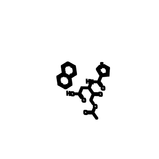 CC(=O)OCC(=O)C(CC(=O)O)NC(=O)c1ccsc1.c1ccc2ccccc2c1